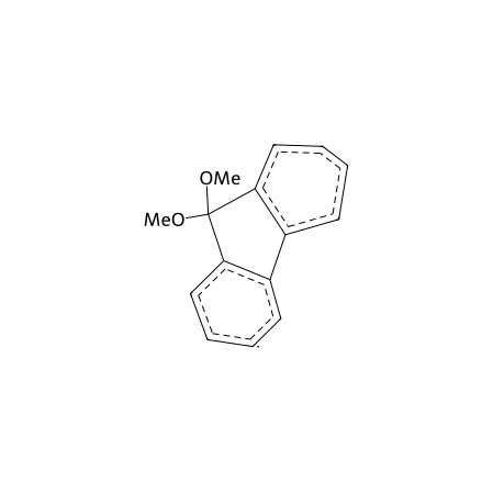 COC1(OC)c2cc[c]cc2-c2ccccc21